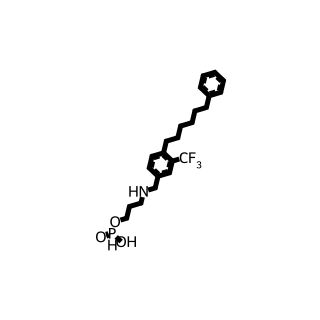 O=[PH](O)OCCCNCc1ccc(CCCCCCc2ccccc2)c(C(F)(F)F)c1